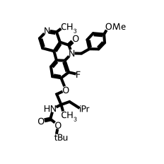 COc1ccc(Cn2c(=O)c3c(C)nccc3c3ccc(OCC(C)(CC(C)C)NC(=O)OC(C)(C)C)c(F)c32)cc1